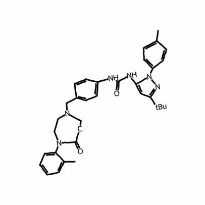 Cc1ccc(-n2nc(C(C)(C)C)cc2NC(=O)Nc2ccc(CN3CCC(=O)N(c4ccccc4C)CC3)cc2)cc1